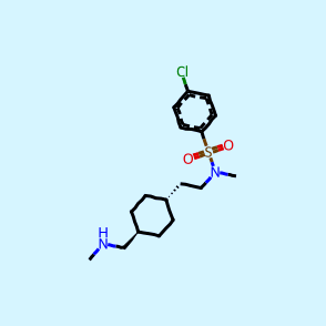 CNC[C@H]1CC[C@H](CCN(C)S(=O)(=O)c2ccc(Cl)cc2)CC1